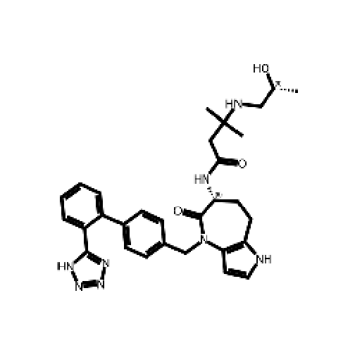 C[C@@H](O)CNC(C)(C)CC(=O)N[C@@H]1CCc2[nH]ccc2N(Cc2ccc(-c3ccccc3-c3nnn[nH]3)cc2)C1=O